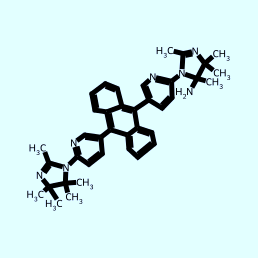 CC1=NC(C)(C)C(C)(C)N1c1ccc(-c2c3ccccc3c(-c3ccc(N4C(C)=NC(C)(C)C4(C)N)nc3)c3ccccc23)cn1